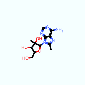 Cc1nc2c(N)ncnc2n1C1OC(CO)C(O)C1(C)O